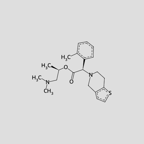 Cc1ccccc1[C@H](C(=O)O[C@H](C)CN(C)C)N1CCc2sccc2C1